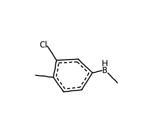 CBc1ccc(C)c(Cl)c1